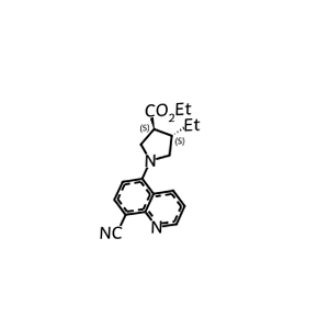 CCOC(=O)[C@@H]1CN(c2ccc(C#N)c3ncccc23)C[C@H]1CC